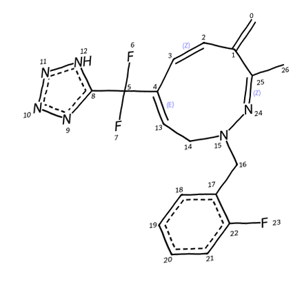 C=C1/C=C\C(C(F)(F)c2nnn[nH]2)=C/CN(Cc2ccccc2F)/N=C\1C